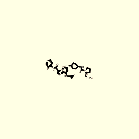 COC[C@@H]1CCCN1C(=O)NC1CCC(Nc2cc(NC3CC3)c3ncc(C(=O)Nc4ccncc4F)n3n2)CC1